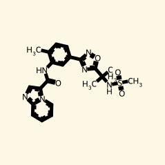 Cc1ccc(-c2noc(C(C)(C)NS(C)(=O)=O)n2)cc1NC(=O)c1cnc2ccccn12